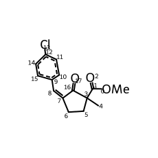 COC(=O)C1(C)CC/C(=C/c2ccc(Cl)cc2)C1=O